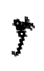 CCCCCCOCC1CCN(S(=O)(=O)C2(C(=O)OC(C)(C)C)CCOCC2)CC1